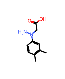 Cc1ccc(N(N)CC(=O)O)cc1C